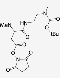 CNC(CC(=O)ON1C(=O)CCC1=O)C(=O)NCCN(C)C(=O)OC(C)(C)C